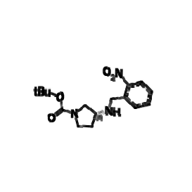 CC(C)(C)OC(=O)N1CC[C@@H](NCc2ccccc2[N+](=O)[O-])C1